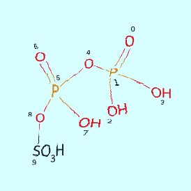 O=P(O)(O)OP(=O)(O)OS(=O)(=O)O